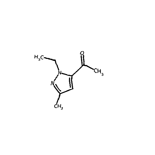 CCn1nc(C)cc1C(C)=O